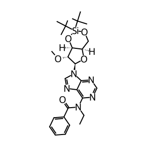 CCN(C(=O)c1ccccc1)c1ncnc2c1ncn2[C@@H]1O[C@@H]2CO[Si](C(C)(C)C)(C(C)(C)C)O[C@@H]2[C@H]1OC